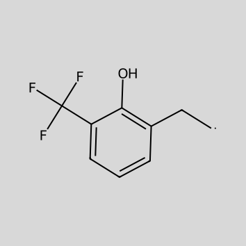 [CH2]Cc1cccc(C(F)(F)F)c1O